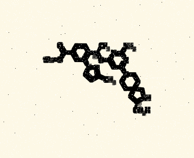 Cc1ccn(-c2cc(C(=O)OC(C)(C)C)ccc2[C@@H](Oc2cc(N3CCC4(CC3)CN[C@H](C(=O)O)C4)nc(N)n2)C(F)(F)F)n1